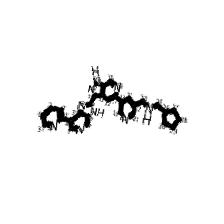 c1ccc(-c2cncc3[nH]c(-c4n[nH]c5cnc(-c6cncc(CNCC7CCCC7)c6)cc45)nc23)nc1